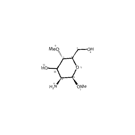 CO[C@@H]1C(CO)O[C@@H](OC)[C@@H](N)C1O